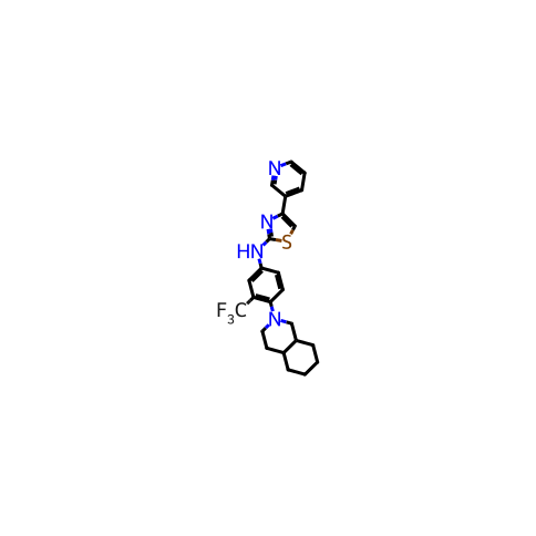 FC(F)(F)c1cc(Nc2nc(-c3cccnc3)cs2)ccc1N1CCC2CCCCC2C1